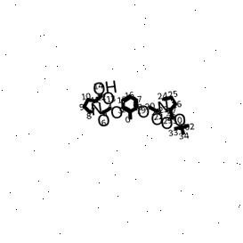 Cc1c(OCC(=O)N2CCCC2C(=O)O)cccc1OCC(=O)N1CCCC1C(=O)OC(C)(C)C